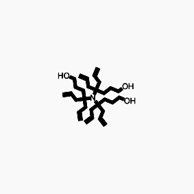 C=CCC(CC=C)(CCCO)N(C(CC=C)(CC=C)CCCO)C(CC=C)(CC=C)CCCO